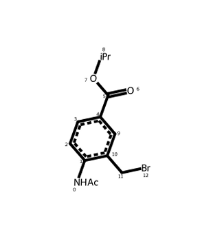 CC(=O)Nc1ccc(C(=O)OC(C)C)cc1CBr